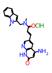 CN(Cc1cc2ccccc2n1C)C(=O)/C=C/c1cnc2[nH]c(=O)cc(N)c2c1.Cl